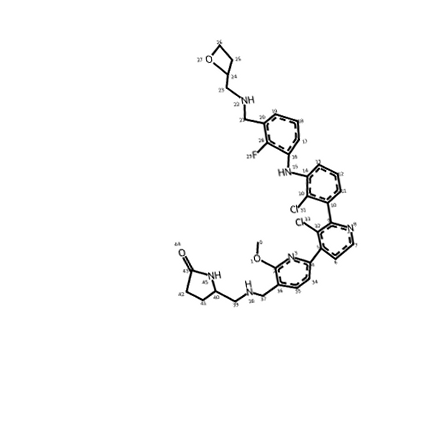 COc1nc(-c2ccnc(-c3cccc(Nc4cccc(CNCC5CCO5)c4F)c3Cl)c2Cl)ccc1CNCC1CCC(=O)N1